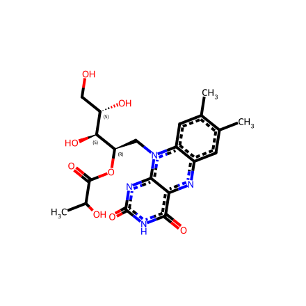 Cc1cc2nc3c(=O)[nH]c(=O)nc-3n(C[C@@H](OC(=O)C(C)O)[C@@H](O)[C@@H](O)CO)c2cc1C